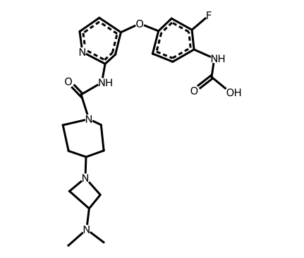 CN(C)C1CN(C2CCN(C(=O)Nc3cc(Oc4ccc(NC(=O)O)c(F)c4)ccn3)CC2)C1